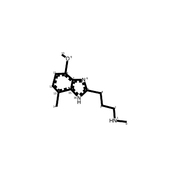 CNCCCc1nc2c(OC)ccc(C)c2[nH]1